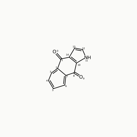 O=C1c2ccccc2C(=O)c2[nH]ccc21